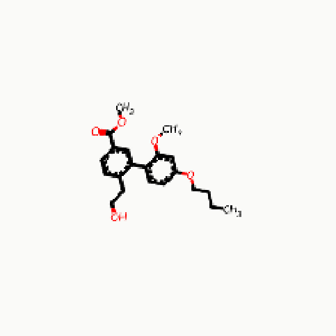 CCCCOc1ccc(-c2cc(C(=O)OC)ccc2CCO)c(OC)c1